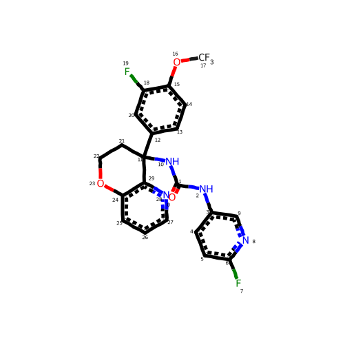 O=C(Nc1ccc(F)nc1)NC1(c2ccc(OC(F)(F)F)c(F)c2)CCOc2cccnc21